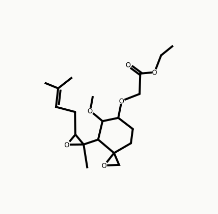 CCOC(=O)COC1CCC2(CO2)C(C2(C)OC2CC=C(C)C)C1OC